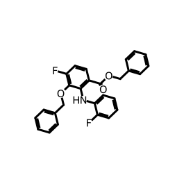 O=C(OCc1ccccc1)c1ccc(F)c(OCc2ccccc2)c1Nc1ccccc1F